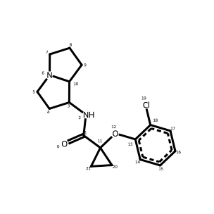 O=C(NC1CCN2CCCC12)C1(Oc2ccccc2Cl)CC1